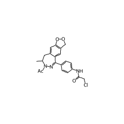 CC(=O)N1N=C(c2ccc(NC(=O)CCl)cc2)c2cc3c(cc2CC1C)OOC3